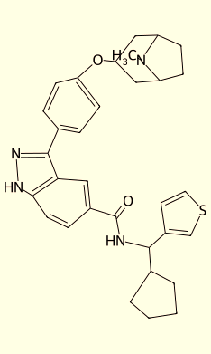 CN1C2CCC1CC(Oc1ccc(-c3n[nH]c4ccc(C(=O)NC(c5ccsc5)C5CCCC5)cc34)cc1)C2